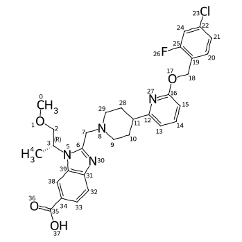 COC[C@@H](C)n1c(CN2CCC(c3cccc(OCc4ccc(Cl)cc4F)n3)CC2)nc2ccc(C(=O)O)cc21